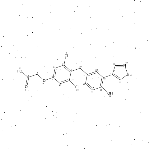 O=C(O)COc1cc(Cl)c(Cc2ccc(O)c(-c3cnsc3)c2)c(Cl)c1